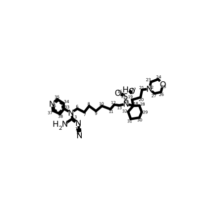 N#CN=C(N)N(CCCCCCCCN([SH](=O)=O)C1(CCCN2CCOCC2)CCCCC1)c1ccncc1